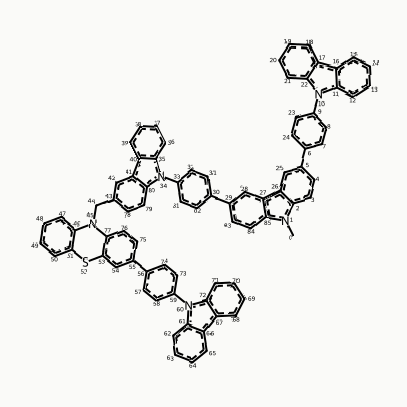 Cn1c2ccc(-c3ccc(-n4c5ccccc5c5ccccc54)cc3)cc2c2cc(-c3ccc(-n4c5ccccc5c5cc(CN6c7ccccc7Sc7cc(-c8ccc(-n9c%10ccccc%10c%10ccccc%109)cc8)ccc76)ccc54)cc3)ccc21